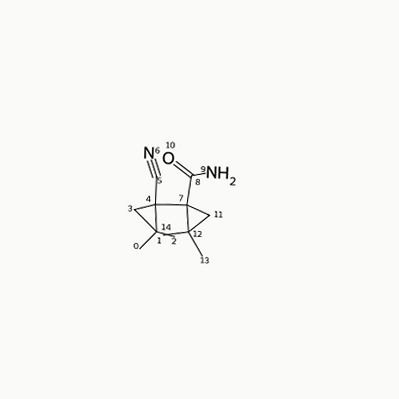 CC1(C)CC1(C#N)C1(C(N)=O)CC1(C)C